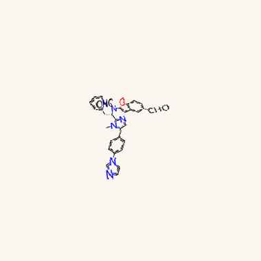 Cn1c(-c2ccc(-n3ccnc3)cc2)cnc1[C@H](Cc1ccccn1)N(C=O)c1cc2cc(C=O)ccc2o1